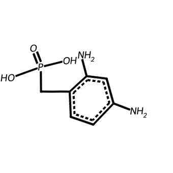 Nc1ccc(CP(=O)(O)O)c(N)c1